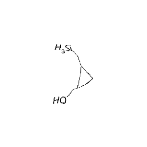 OC1CC1[SiH3]